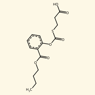 CCCCOC(=O)c1ccccc1OC(=O)SCCC(=O)O